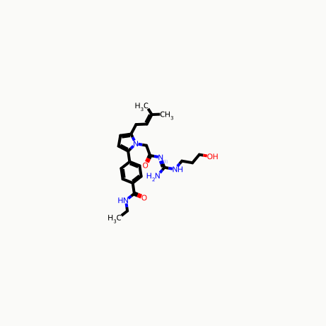 CCNC(=O)c1ccc(-c2ccc(CC=C(C)C)n2CC(=O)/N=C(\N)NCCCO)cc1